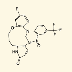 O=C1c2cc(C(F)(F)F)ccc2N2CN1c1ccc(=O)[nH]c1CCCOc1cc(F)ccc12